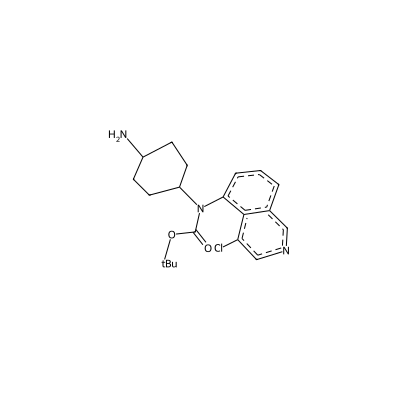 CC(C)(C)OC(=O)N(c1cccc2cncc(Cl)c12)C1CCC(N)CC1